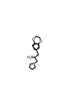 NC(Cc1ccc2c(c1)OCCO2)CN1CCCC1